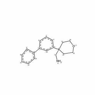 NCC1(c2cccc(-c3ccccc3)c2)CCOCC1